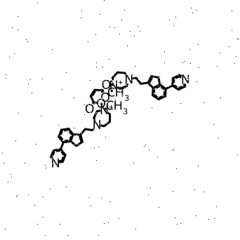 C[N+]1(OC(=O)/C=C\C(=O)O[N+]2(C)CCCN(CCC3=CCc4c3cccc4-c3ccncc3)CC2)CCCN(CCC2=CCc3c2cccc3-c2ccncc2)CC1